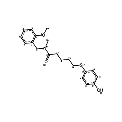 COc1ccccc1CN(C)C(=O)CCCCSc1ccc(O)cc1